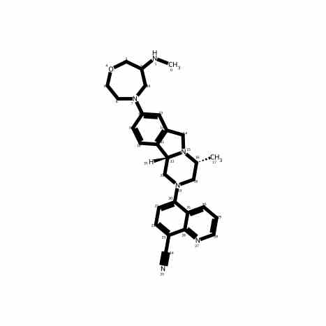 CNC1COCCN(c2ccc3c(c2)CN2[C@H](C)CN(c4ccc(C#N)c5ncccc45)C[C@H]32)C1